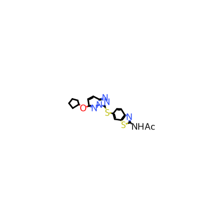 CC(=O)Nc1nc2ccc(Sc3nnc4ccc(OC5CCCC5)nn34)cc2s1